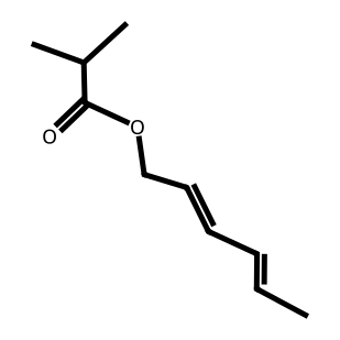 CC=CC=CCOC(=O)C(C)C